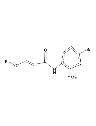 CCO/C=C/C(=O)Nc1ccc(Br)cc1OC